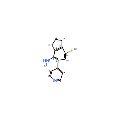 CNc1c(-c2ccncc2)cc(F)c2c1CCC2